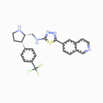 FC(F)(F)c1ccc([C@@H]2CCN[C@@H]2CNc2nnc(-c3ccc4cnccc4c3)s2)cc1